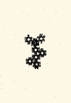 c1ccc(-c2nc(-c3ccccc3)nc(-c3ccc(-c4cc(-c5ccccc5)c(-c5ccncc5)cc4-c4ccccc4)cc3)n2)cc1